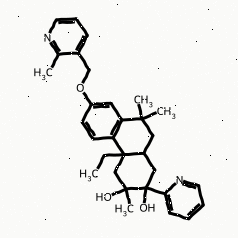 CCC12CC(C)(O)C(O)(c3ccccn3)CC1CC(C)(C)c1cc(OCc3cccnc3C)ccc12